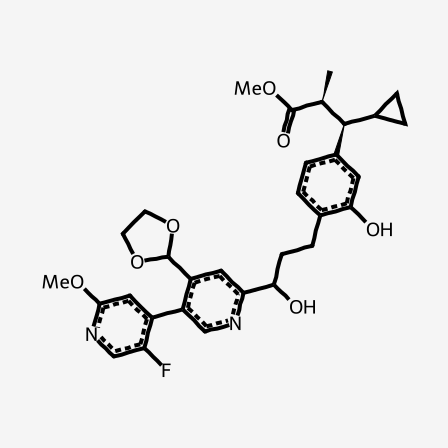 COC(=O)[C@@H](C)[C@H](c1ccc(CCC(O)c2cc(C3OCCO3)c(-c3cc(OC)ncc3F)cn2)c(O)c1)C1CC1